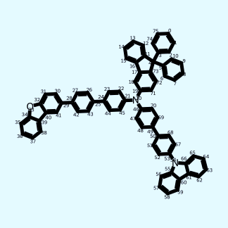 c1ccc(C2(c3ccccc3)c3ccccc3-c3cc(N(c4ccc(-c5ccc(-c6ccc7oc8ccccc8c7c6)cc5)cc4)c4ccc(-c5ccc(-n6c7ccccc7c7ccccc76)cc5)cc4)ccc32)cc1